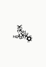 CC(C)(C)OC(=O)N[C@@H](CC(=O)O)C(=O)OC(C)(C)c1ccccc1